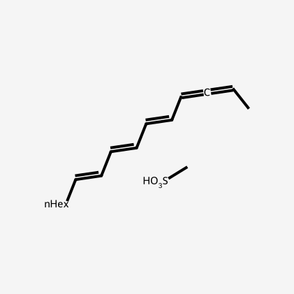 CC=C=CC=CC=CC=CCCCCCC.CS(=O)(=O)O